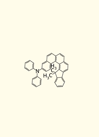 CC1(C)c2ccccc2-c2ccc3ccc4ccc5cc(N(c6ccccc6)c6ccccc6)ccc5c4c3c21